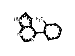 FC(F)(F)c1ccccc1-c1ncnc2[nH]ccc12